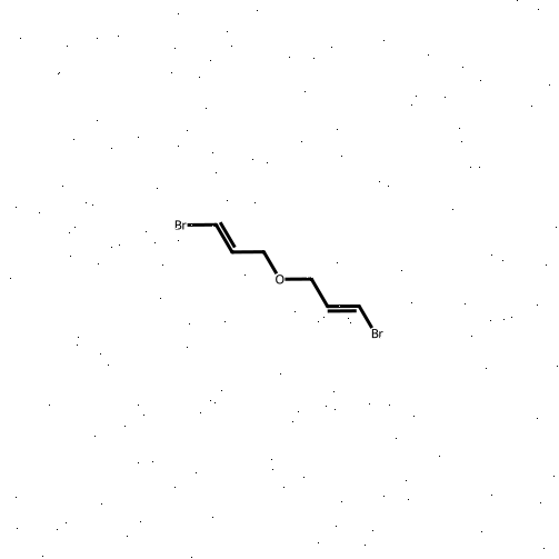 BrC=CCOCC=CBr